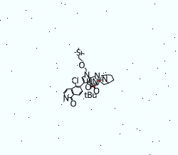 Cn1ccc2c(Cl)c(-c3cn(COCC[Si](C)(C)C)c4nc(N5C6CCC5CC(NC(=O)OC(C)(C)C)C6)cnc34)ccc2c1=O